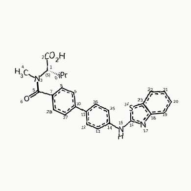 CC(C)[C@@H](C(=O)O)N(C)C(=O)c1ccc(-c2ccc(Nc3nc4ccccc4s3)cc2)cc1